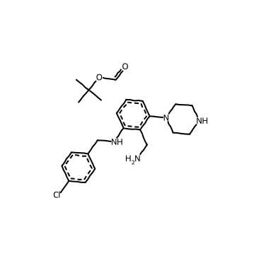 CC(C)(C)OC=O.NCc1c(NCc2ccc(Cl)cc2)cccc1N1CCNCC1